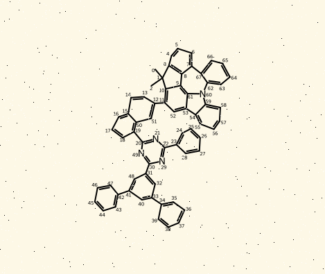 CC1(C)c2cccc3c2-c2c1c(-c1ccc4cccc(-c5nc(-c6ccccc6)nc(-c6cc(-c7ccccc7)cc(-c7ccccc7)c6)n5)c4c1)cc1c4ccccc4n(c21)-c1ccccc1-3